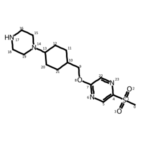 CS(=O)(=O)c1cnc(OCC2CCC(N3CCNCC3)CC2)cn1